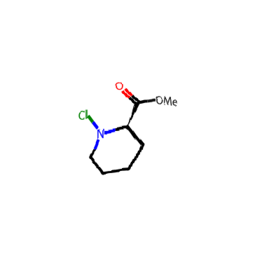 COC(=O)[C@H]1CCCCN1Cl